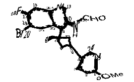 COc1ccc(C2CC(C)(c3c(NC=O)cnc4cc(F)c(Br)cc34)C2)cn1